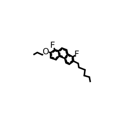 CCCCCCc1ccc2c(ccc3c(F)c(OCCC)ccc32)c1F